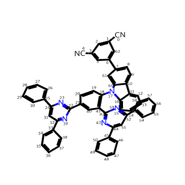 N#Cc1cc(C#N)cc(-c2ccc3c4ccccc4n(-c4ccc(-c5nc(-c6ccccc6)cc(-c6ccccc6)n5)cc4-c4nc(-c5ccccc5)cc(-c5ccccc5)n4)c3c2)c1